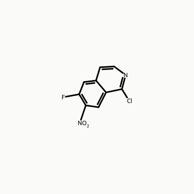 O=[N+]([O-])c1cc2c(Cl)nccc2cc1F